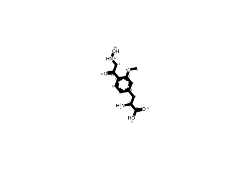 COc1cc(CC(N)C(=O)O)ccc1C(=O)CNO